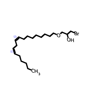 CCCCC/C=C\C/C=C\CCCCCCCCOCC(O)CBr